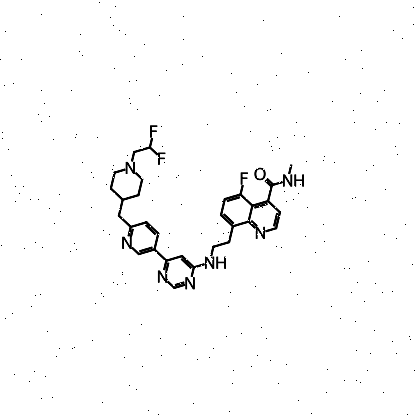 CNC(=O)c1ccnc2c(CCNc3cc(-c4ccc(CC5CCN(CC(F)F)CC5)nc4)ncn3)ccc(F)c12